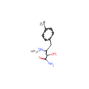 NC(=O)C(O)C(Cc1ccc([N+](=O)[O-])cc1)NC(=O)O